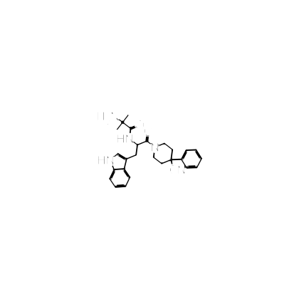 CC(C)(N)C(=O)NC(Cc1c[nH]c2ccccc12)C(=O)N1CCC(C#N)(c2ccccc2)CC1